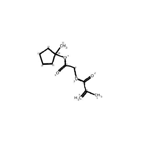 C=C(C)C(=O)OCC(=O)OC1(C)CCCC1